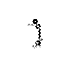 COc1ccccc1N1CCN(CCCCCCNc2cnn(C)c(=O)c2)CC1